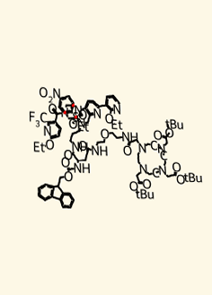 CCOc1ccc(C(=O)N2CCN(c3ccc(-c4cccnc4OCC)nc3CN(CCCNC(=O)[C@@H](CC(=O)NCCOCCNC(=O)CN3CCN(CC(=O)OC(C)(C)C)CCN(CC(=O)OC(C)(C)C)CCN(CC(=O)OC(C)(C)C)CC3)NC(=O)OCC3c4ccccc4-c4ccccc43)S(=O)(=O)c3ccc([N+](=O)[O-])cc3)[C@H](CC)C2)c(C(F)(F)F)n1